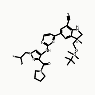 CC(C)(C)[Si](C)(C)OC[C@@]1(C)CNc2c(C#N)cc(-c3ccnc(Nc4cn(CC(F)F)nc4C(=O)N4CCCC4)n3)cc21